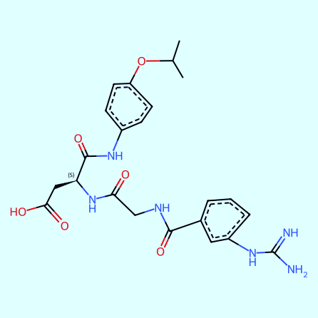 CC(C)Oc1ccc(NC(=O)[C@H](CC(=O)O)NC(=O)CNC(=O)c2cccc(NC(=N)N)c2)cc1